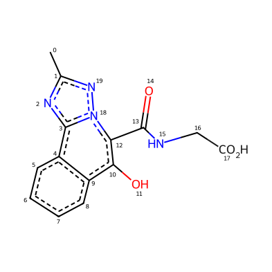 Cc1nc2c3ccccc3c(O)c(C(=O)NCC(=O)O)n2n1